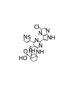 O=C(O)[C@H]1C2CCC(CC2)[C@@H]1Nc1nc(-c2c[nH]c3ncc(Cl)nc23)nc(-c2ccns2)c1F